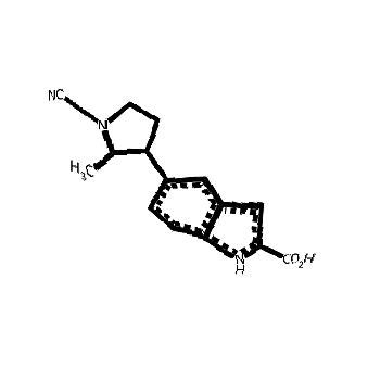 CC1C(c2ccc3[nH]c(C(=O)O)cc3c2)CCN1C#N